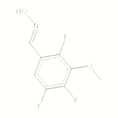 COc1c(F)c(F)cc(C=NO)c1F